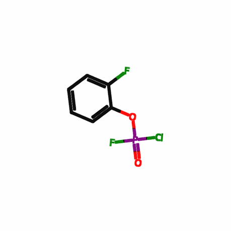 O=P(F)(Cl)Oc1ccccc1F